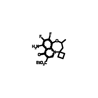 CCOC(=O)c1cn2c3c(c(F)c(F)c(N)c3c1=O)OC(C)CC21CCC1